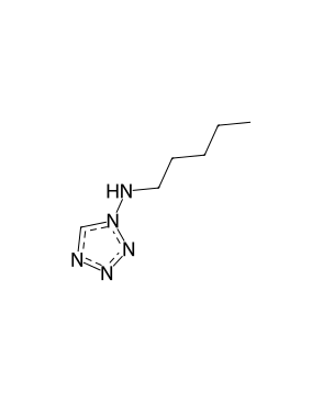 CCCCCNn1cnnn1